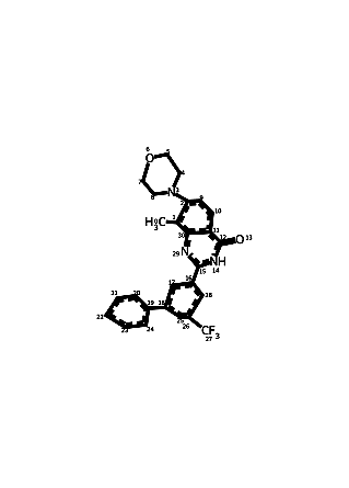 Cc1c(N2CCOCC2)ccc2c(=O)[nH]c(-c3cc(-c4ccccc4)cc(C(F)(F)F)c3)nc12